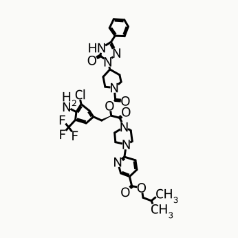 CC(C)COC(=O)c1ccc(N2CCN(C(=O)[C@@H](Cc3cc(Cl)c(N)c(C(F)(F)F)c3)OC(=O)N3CCC(n4nc(-c5ccccc5)[nH]c4=O)CC3)CC2)nc1